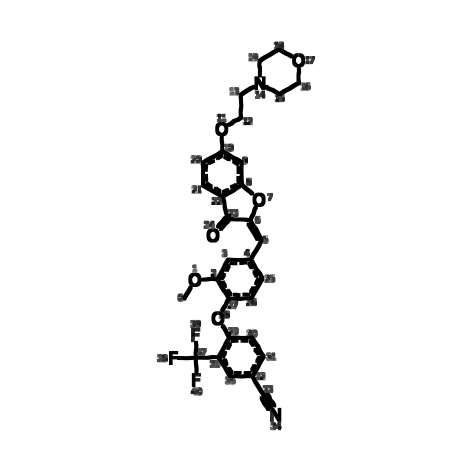 COc1cc(C=C2Oc3cc(OCCN4CCOCC4)ccc3C2=O)ccc1Oc1ccc(C#N)cc1C(F)(F)F